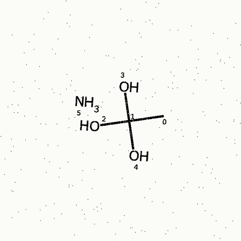 CC(O)(O)O.N